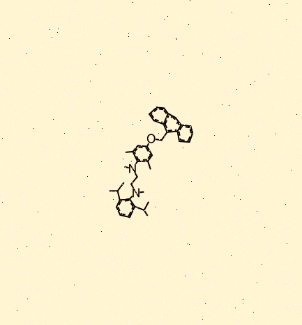 Cc1cc(OCc2c3ccccc3cc3ccccc23)cc(C)c1N(C)CCN(C)c1c(C(C)C)cccc1C(C)C